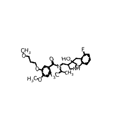 COCCCOc1cc(C(=O)N(CC2CNCC2(O)Cc2c(F)cccc2Cl)C(C)C)ccc1OC